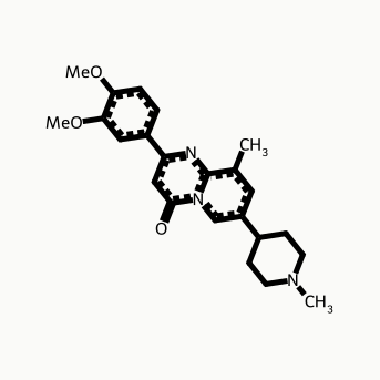 COc1ccc(-c2cc(=O)n3cc(C4CCN(C)CC4)cc(C)c3n2)cc1OC